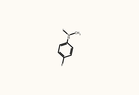 C[SiH](I)c1ccc(F)cc1